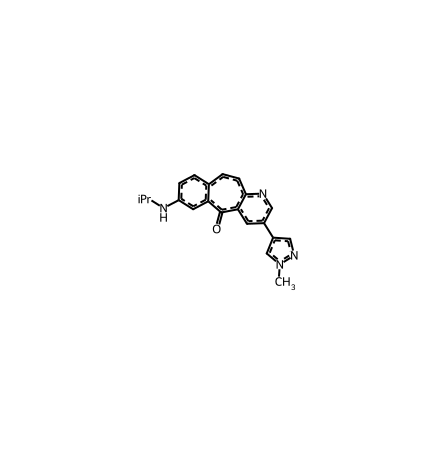 CC(C)Nc1ccc2ccc3ncc(-c4cnn(C)c4)cc3c(=O)c2c1